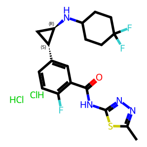 Cc1nnc(NC(=O)c2cc([C@@H]3C[C@H]3NC3CCC(F)(F)CC3)ccc2F)s1.Cl.Cl